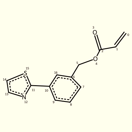 C=CC(=O)OCc1cccc(-c2nccs2)c1